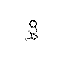 Cn1cnn(Cc2ccccc2)c1=O